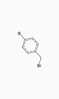 [B]c1ccc(CBr)cc1